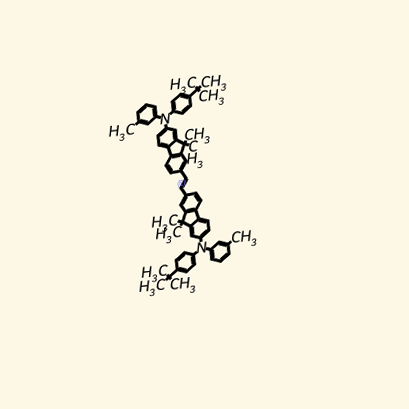 Cc1cccc(N(c2ccc(C(C)(C)C)cc2)c2ccc3c(c2)C(C)(C)c2cc(/C=C/c4ccc5c(c4)C(C)(C)c4cc(N(c6ccc(C(C)(C)C)cc6)c6cccc(C)c6)ccc4-5)ccc2-3)c1